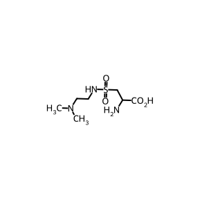 CN(C)CCNS(=O)(=O)CC(N)C(=O)O